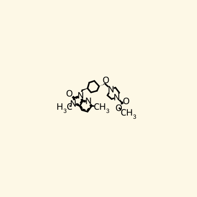 COC(=O)N1CCN(C(=O)[C@H]2CC[C@H](Cn3c(=O)n(C)c4ccc(C)nc43)CC2)CC1